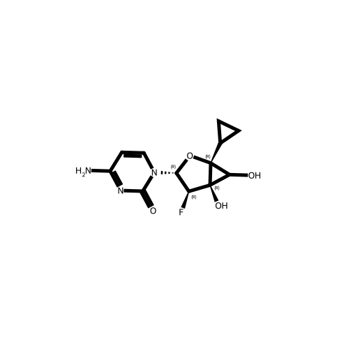 Nc1ccn([C@@H]2O[C@]3(C4CC4)C(O)[C@]3(O)[C@H]2F)c(=O)n1